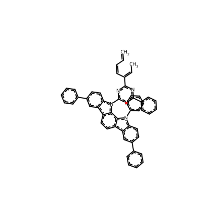 C=C/C=C\C(=C/C)c1nc(-c2ccccc2)nc(-n2c3ccc(-c4ccccc4)cc3c3ccc4c5cc(-c6ccccc6)ccc5n(-c5ccccc5)c4c32)n1